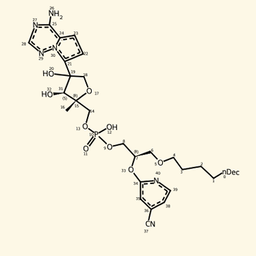 CCCCCCCCCCCCCCOC[C@H](COP(=O)(O)OC[C@@]1(C)OCC(O)(c2ccc3c(N)ncnn23)[C@@H]1O)Oc1cc(C#N)ccn1